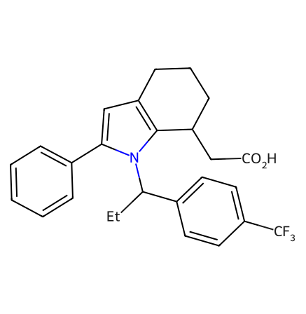 CCC(c1ccc(C(F)(F)F)cc1)n1c(-c2ccccc2)cc2c1C(CC(=O)O)CCC2